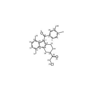 Cc1ccc(C(=O)n2c3c(c4c(C)ccc(C)c42)CC(C(=O)CCl)CC3)cc1C